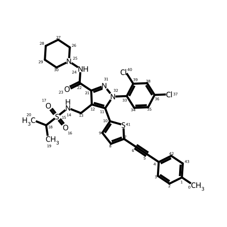 Cc1ccc(C#Cc2ccc(-c3c(CNS(=O)(=O)C(C)C)c(C(=O)NN4CCCCC4)nn3-c3ccc(Cl)cc3Cl)s2)cc1